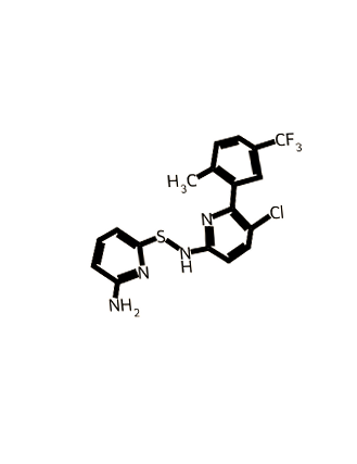 Cc1ccc(C(F)(F)F)cc1-c1nc(NSc2cccc(N)n2)ccc1Cl